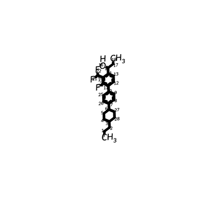 CCCC1CCC(c2ccc(-c3ccc(C(O)CC)c(C(F)F)c3F)cc2)CC1